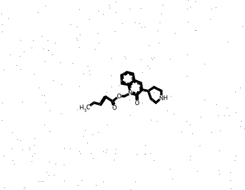 CCC=CC(=O)OCn1c(=O)c(C2CCNCC2)cc2ccccc21